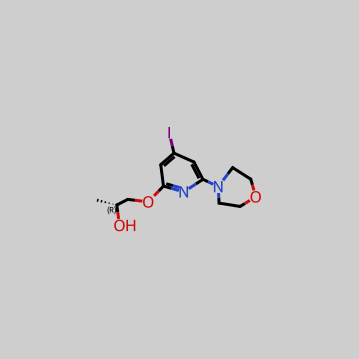 C[C@@H](O)COc1cc(I)cc(N2CCOCC2)n1